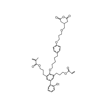 C=CC(=O)OCCCc1cc(-c2ccccc2CC)cc(CCCOC(=O)C(=C)C)c1OCCCCCc1ccc(OCCCOCC2CC(=O)OC(=O)C2)cc1